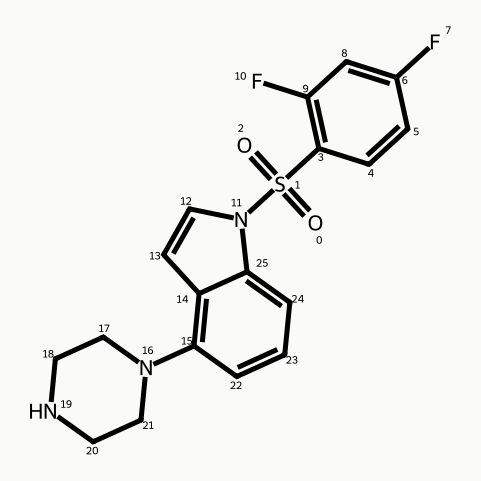 O=S(=O)(c1ccc(F)cc1F)n1ccc2c(N3CCNCC3)cccc21